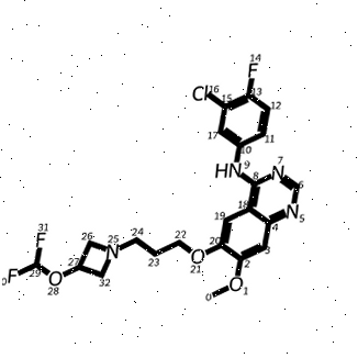 COc1cc2ncnc(Nc3ccc(F)c(Cl)c3)c2cc1OCCCN1CC(OC(F)F)C1